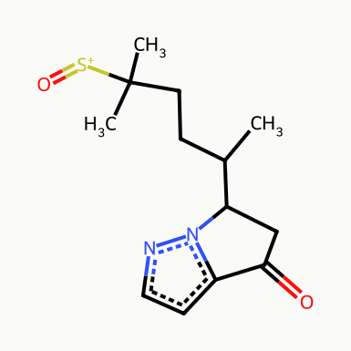 CC(CCC(C)(C)[S+]=O)C1CC(=O)c2ccnn21